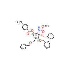 CC(C)(C)OC(=O)N[C@@H]1[C@@H](OCc2ccccc2)[C@H](OCc2ccccc2)[C@@H](COCc2ccccc2)C[C@H]1OC(=O)c1ccc([N+](=O)[O-])cc1